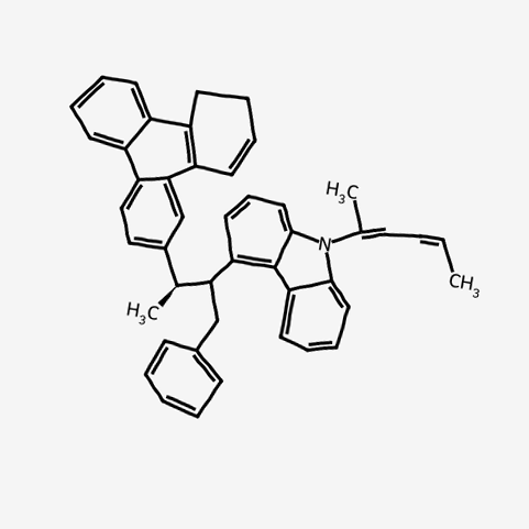 C/C=C\C=C(/C)n1c2ccccc2c2c(C(Cc3ccccc3)[C@@H](C)c3ccc4c(c3)c3c(c5ccccc54)CCC=C3)cccc21